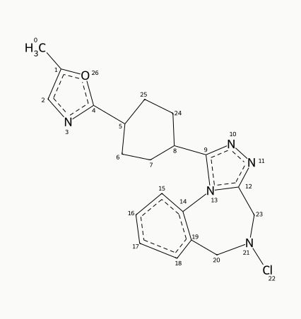 Cc1cnc(C2CCC(c3nnc4n3-c3ccccc3CN(Cl)C4)CC2)o1